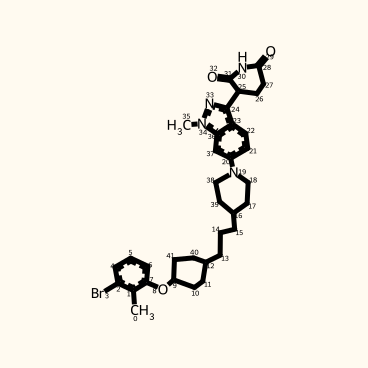 Cc1c(Br)cccc1OC1CCC(CCCC2CCN(c3ccc4c(C5CCC(=O)NC5=O)nn(C)c4c3)CC2)CC1